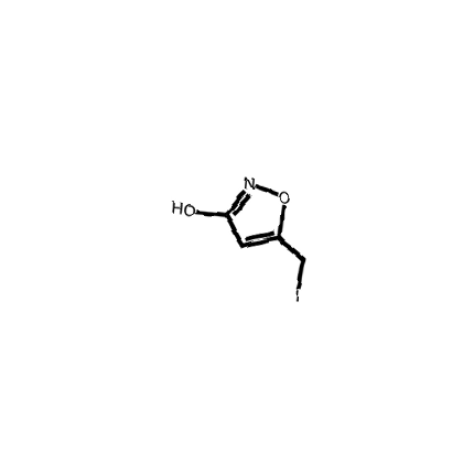 Oc1cc(CI)on1